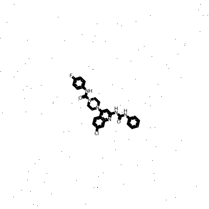 O=C(Nc1ccccc1)Nc1cc(N2CCN(C(=O)Nc3ccc(F)cc3)CC2)c2ccc(Cl)cc2n1